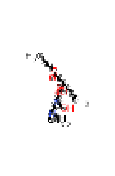 CCCCCCCOC(=O)CCCC(CCCCCC)OC(=O)OCCN(CCO)CCCN(CC)CC